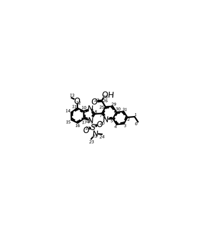 CCc1ccc2nc(-c3nc4c(OC)cccc4n3S(=O)(=O)N(C)C)c(C(=O)O)cc2c1